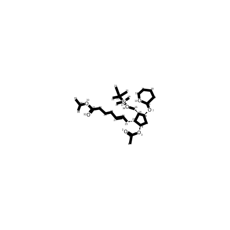 CC(=O)O[C@H]1C[C@@H](OC2CCCCO2)[C@@H](CO[Si](C)(C)C(C)(C)C)[C@H]1CC=CCCCC(=O)OC(C)C